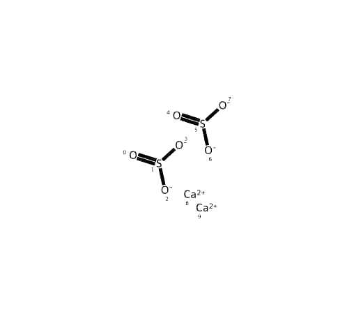 O=S([O-])[O-].O=S([O-])[O-].[Ca+2].[Ca+2]